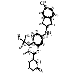 CN(C(=O)C1CCCC(=O)N1)[C@@H](c1ccc(NC2Cc3ccc(Cl)cc3C2)cn1)C(F)(F)F